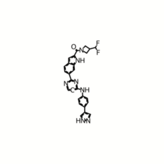 O=C(c1cc2ccc(-c3nccc(Nc4ccc(-c5cn[nH]c5)cc4)n3)cc2[nH]1)N1CC(C(F)F)C1